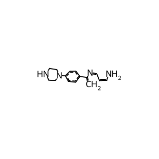 C=C(/N=C\C=C/N)c1ccc(N2CCNCC2)cc1